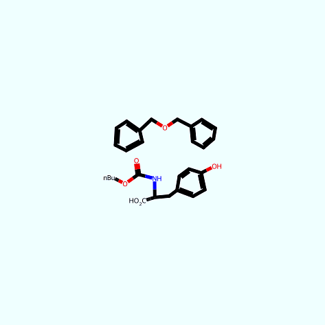 CCCCOC(=O)NC(Cc1ccc(O)cc1)C(=O)O.c1ccc(COCc2ccccc2)cc1